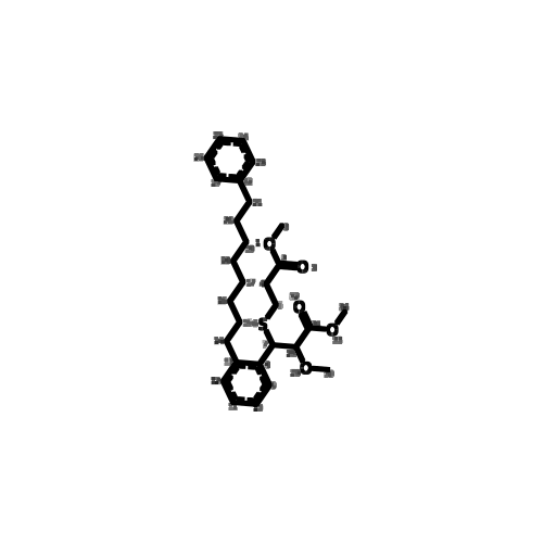 COC(=O)CCSC(c1ccccc1CCCCCCCCc1ccccc1)C(OC)C(=O)OC